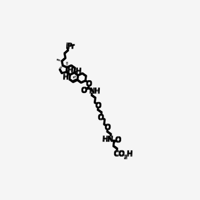 CC(C)CCC[C@@H](C)[C@H]1CC[C@H]2[C@@H]3CC=C4CC(OC(=O)NCCCOCCOCCOCCNC(=O)CCC(=O)O)CC[C@]4(C)[C@H]3CC[C@]12C